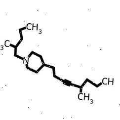 CCCC(C)C#CCCC1CCN(CC(C)CCC)CC1